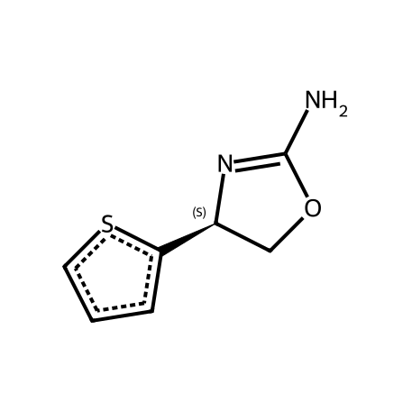 NC1=N[C@H](c2cccs2)CO1